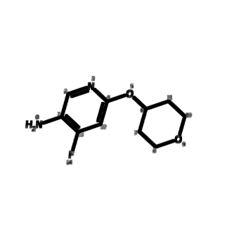 Nc1cnc(OC2CCOCC2)cc1F